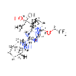 CC(C)(O)c1ccc(OCC(F)(F)F)n2nc(N[C@@H]3C4CC[C@H]3CN(c3ccnc(C(F)(F)F)c3)C4)nc12